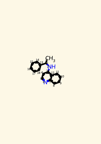 CC(Nc1ccnc2ccccc12)c1ccccc1